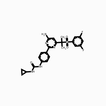 CC(C)(c1cc(N)nc(-c2ccc(NC(=O)NC3CC3)cc2)n1)S(=O)(=O)c1cc(F)cc(F)c1